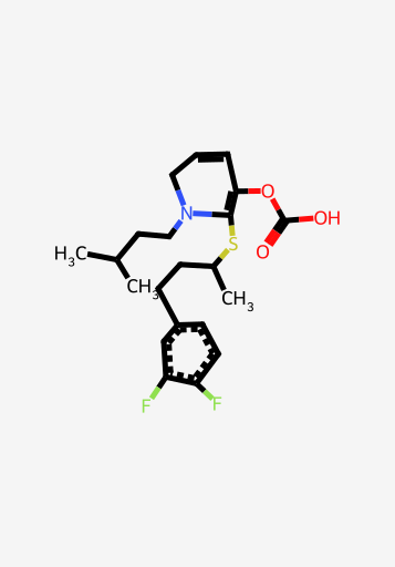 CC(C)CCN1CC=CC(OC(=O)O)=C1SC(C)CCc1ccc(F)c(F)c1